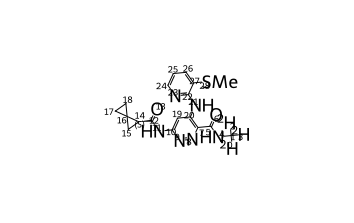 [2H]C([2H])([2H])NC(=O)c1nnc(NC(=O)[C@H]2CC23CC3)cc1Nc1ncccc1SC